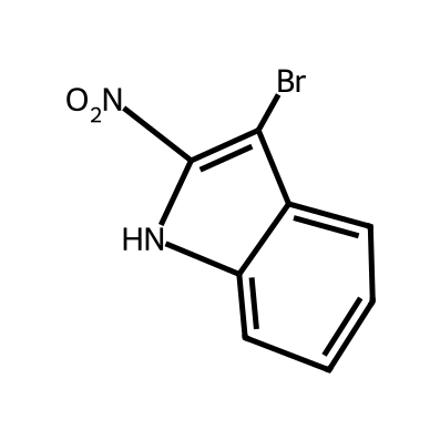 O=[N+]([O-])c1[nH]c2ccccc2c1Br